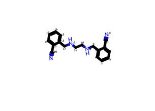 N#Cc1ccccc1CNCCNCc1ccccc1C#N